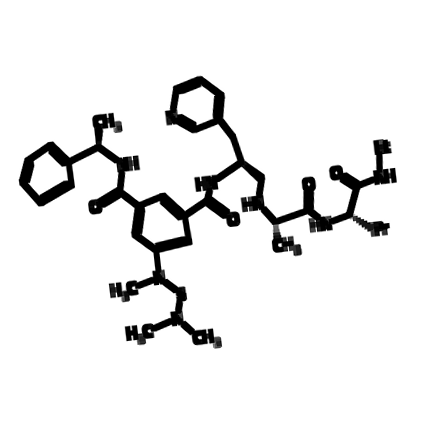 CCNC(=O)[C@@H](NC(=O)[C@H](C)NC[C@H](Cc1cccnc1)NC(=O)c1cc(C(=O)N[C@H](C)c2ccccc2)cc(N(C)SN(C)C)c1)C(C)C